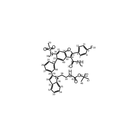 CNC(=O)c1c(-c2ccc(F)cc2)oc2cc(N(C)S(C)(=O)=O)c(-c3cccc(-c4cc5ccccc5n4CCNC(=O)OC(C)(C)C)c3)cc12